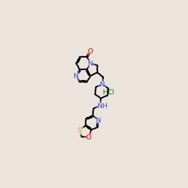 Cl.O=c1ccc2nccc3c2n1CC3CN1CCC(NCc2cc3c(cn2)OCS3)CC1